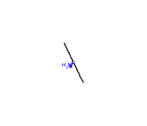 CCCCCCCCCCCCCCCCCCN(CCCCCCCCCCCCCCCCCC)CCN(N)CC